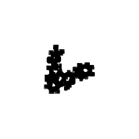 CC(=O)OC(CCC1CC2CCCC(C2)C1)Cn1c(CNC(=O)OC(C)(C)C)nc2ccccc21